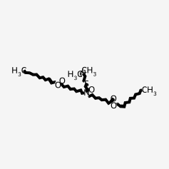 CCCCCCCC/C=C\COC(=O)CCCCCCCN(CCCCCCCC(=O)OC/C=C/CCCCCCCC)C(=O)CSCCN(C)C